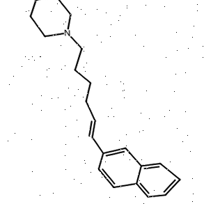 C(=Cc1ccc2ccccc2c1)CCCCN1CCCCC1